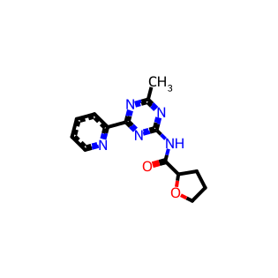 Cc1nc(NC(=O)C2CCCO2)nc(-c2ccccn2)n1